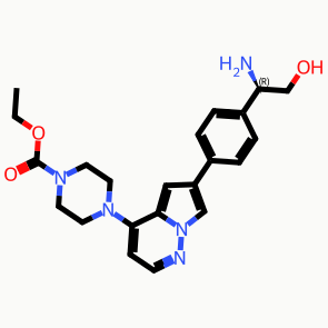 CCOC(=O)N1CCN(c2ccnn3cc(-c4ccc([C@@H](N)CO)cc4)cc23)CC1